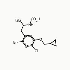 CC(C)(C)C(Cc1cc(OCC2CC2)c(Cl)nc1Br)NC(=O)O